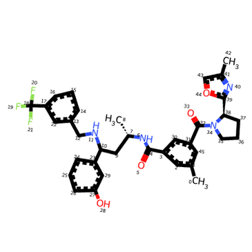 Cc1cc(C(=O)N[C@@H](C)CC(NCc2cccc(C(F)(F)F)c2)c2cccc(O)c2)cc(C(=O)N2CCC[C@@H]2c2nc(C)co2)c1